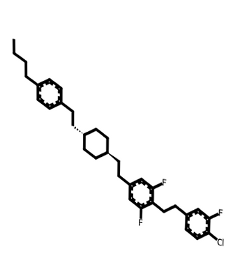 CCCCc1ccc(CC[C@H]2CC[C@H](CCc3cc(F)c(CCc4ccc(Cl)c(F)c4)c(F)c3)CC2)cc1